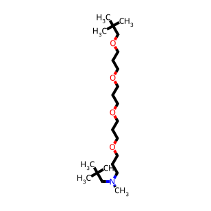 CN(CCCOCCCOCCCOCCCOCC(C)(C)C)CC(C)(C)C